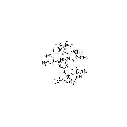 CCN(CC)c1nc(N(CC(C)C)C2CCNC(C)(C)C2)nc(N(CC(C)C)C2CCNC(C)(C)C2)n1